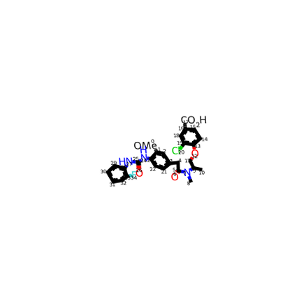 COc1cc(CC(=O)N(C)C(C)COc2ccc(C(=O)O)cc2Cl)ccc1NC(=O)Nc1ccccc1F